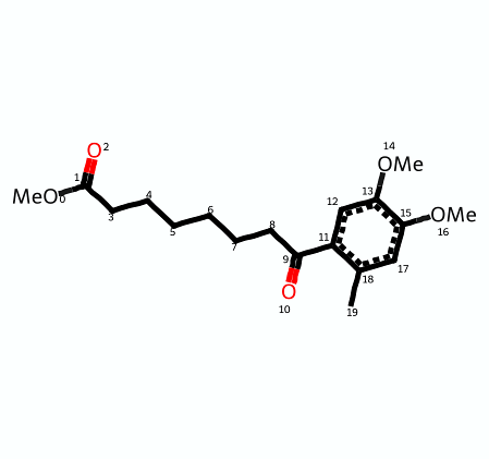 COC(=O)CCCCCCC(=O)c1cc(OC)c(OC)cc1C